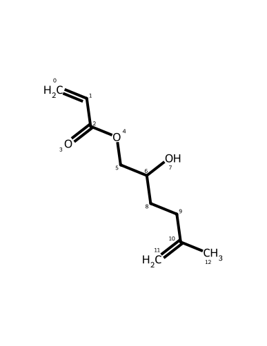 C=CC(=O)OCC(O)CCC(=C)C